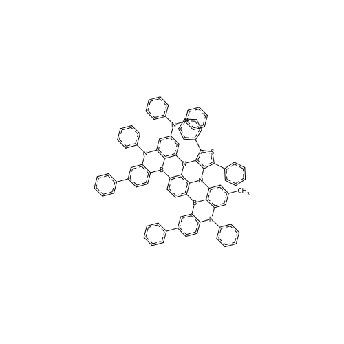 Cc1cc2c3c(c1)N1c4c(ccc5c4N(c4cc(N(c6ccccc6)c6ccccc6)cc6c4B5c4ccc(-c5ccccc5)cc4N6c4ccccc4)c4c(-c5ccccc5)sc(-c5ccccc5)c41)B3c1cc(-c3ccccc3)ccc1N2c1ccccc1